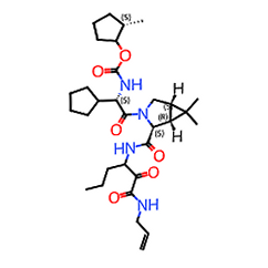 C=CCNC(=O)C(=O)C(CCC)NC(=O)[C@@H]1[C@@H]2[C@H](CN1C(=O)[C@@H](NC(=O)OC1CCC[C@@H]1C)C1CCCC1)C2(C)C